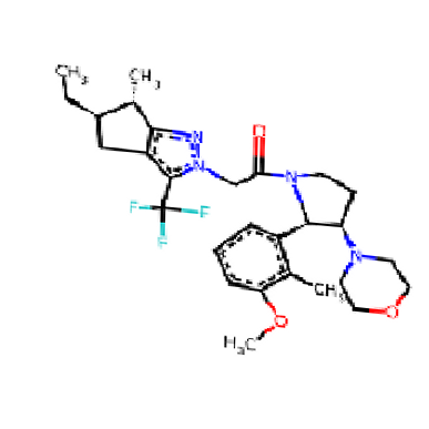 CC[C@@H]1Cc2c(nn(CC(=O)N3CC[C@@H](N4CCOCC4)[C@H]3c3cccc(OC)c3C)c2C(F)(F)F)[C@H]1C